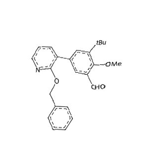 COc1c(C=O)cc(-c2cccnc2OCc2ccccc2)cc1C(C)(C)C